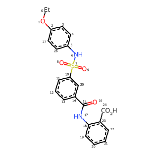 CCOc1ccc(NS(=O)(=O)c2cccc(C(=O)Nc3ccccc3C(=O)O)c2)cc1